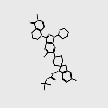 Cn1ccc2c(c1=O)CCCN2c1nn(C2CCCCO2)c2nc(N3CCC4(CC3)Cc3cc(F)ccc3[C@H]4NC(=O)OC(C)(C)C)c(Cl)nc12